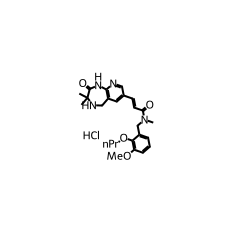 CCCOc1c(CN(C)C(=O)C=Cc2cnc3c(c2)CNC(C)(C)C(=O)N3)cccc1OC.Cl